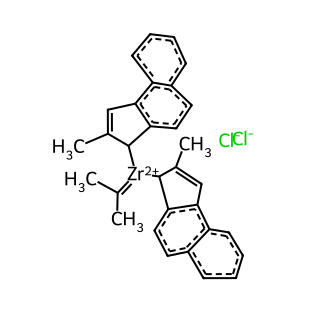 CC1=Cc2c(ccc3ccccc23)[CH]1[Zr+2](=[C](C)C)[CH]1C(C)=Cc2c1ccc1ccccc21.[Cl-].[Cl-]